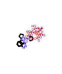 O=P(O)(O)OP(=O)(O)OP(=O)(O)OP(=O)(O)OP(=O)(O)OP(=O)(O)OP(On1nnc2ccccc21)(N1CCCC1)(N1CCCC1)N1CCCC1